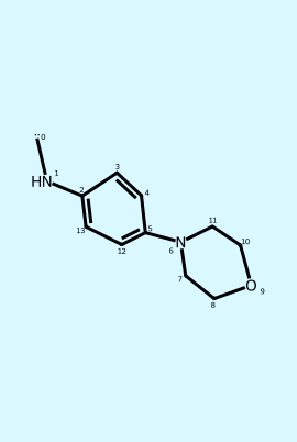 [CH]Nc1ccc(N2CCOCC2)cc1